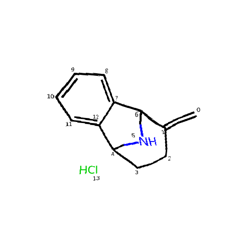 C=C1CCC2NC1c1ccccc12.Cl